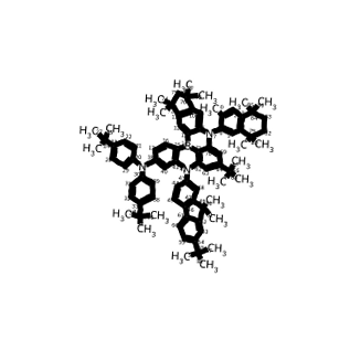 Cc1cc2c(cc1N1c3cc4c(cc3B3c5ccc(N(c6ccc(C(C)(C)C)cc6)c6ccc(C(C)(C)C)cc6)cc5N(c5ccc6c(c5)C(C)(C)c5cc(C(C)(C)C)ccc5-6)c5cc(C(C)(C)C)cc1c53)C(C)(C)CC4(C)C)C(C)(C)CCC2(C)C